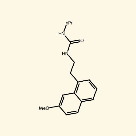 CCCNC(=O)NCCc1cccc2ccc(OC)cc12